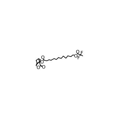 CC(F)(F)C(=O)OCCCCCCCCCCCCC(=O)OC1C2CC3C(=O)OC1C3C2